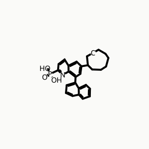 O=P(O)(O)c1ccc2cc(C3CCCCCCCC3)cc(-c3cccc4ccccc34)c2n1